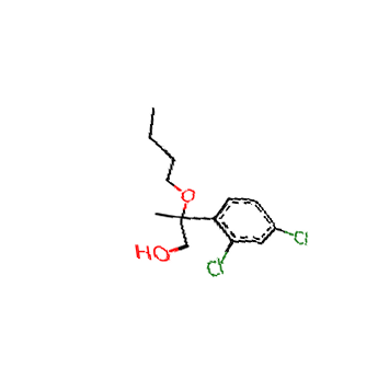 CCCCOC(C)(CO)c1ccc(Cl)cc1Cl